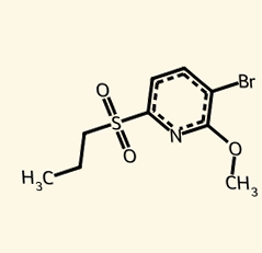 CCCS(=O)(=O)c1ccc(Br)c(OC)n1